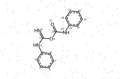 N=C(Nc1ccccc1)OC(=O)Nc1ccccc1